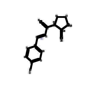 O=C(/C=C/c1ccc(F)cc1)N1CCOC1=O